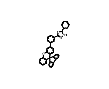 C1=CCC(C2NN=C(c3cccc(-c4ccc5c(c4)Oc4ccccc4C54c5ccccc5-c5ccccc54)c3)O2)C=C1